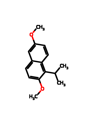 COc1ccc2c(C(C)C)c(OC)ccc2c1